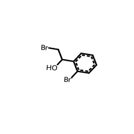 OC(CBr)c1ccccc1Br